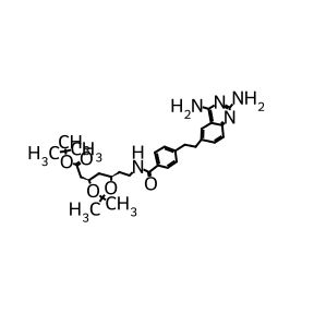 CC(C)(C)OC(=O)C[C@H]1C[C@@H](CCNC(=O)c2ccc(CCc3ccc4nc(N)nc(N)c4c3)cc2)OC(C)(C)O1